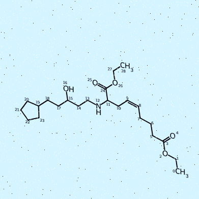 CCOC(=O)CCC/C=C\CC(NCCC(O)CCC1CCCC1)C(=O)OCC